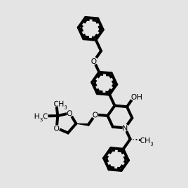 C[C@H](c1ccccc1)N1CC(O)C(c2ccc(OCc3ccccc3)cc2)C(OC[C@H]2COC(C)(C)O2)C1